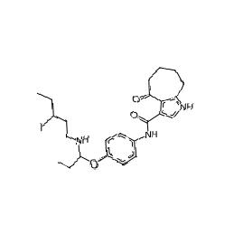 CCC(I)CCNC(CC)Oc1ccc(NC(=O)c2c[nH]c3c2C(=O)CCCC3)cc1